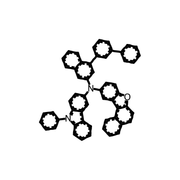 c1ccc(-c2cccc(-c3cc(N(c4ccc5oc6ccc7ccccc7c6c5c4)c4ccc5c(c4)c4ccccc4n5-c4ccccc4)cc4ccccc34)c2)cc1